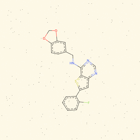 Fc1ccccc1-c1cc2ncnc(NCc3ccc4c(c3)OCO4)c2s1